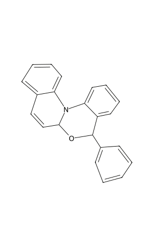 C1=CC2OC(c3ccccc3)c3ccccc3N2c2ccccc21